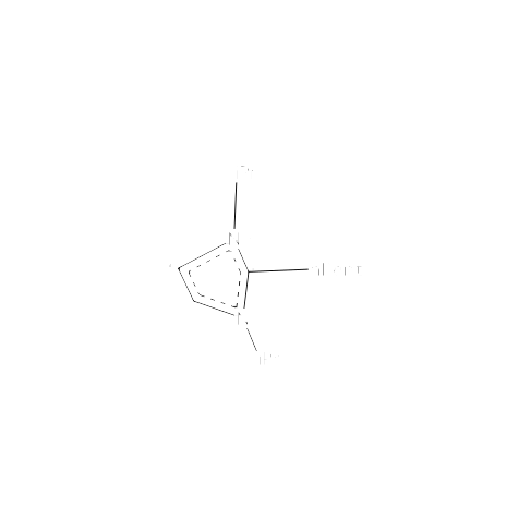 CCCCCc1n(C(C)C)cc[n+]1C(C)C